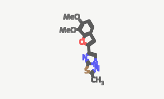 COc1ccc2cc(-c3cn4nc(C)sc4n3)oc2c1OC